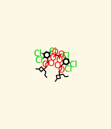 CCCC1(COC(=O)c2c(Cl)c(Cl)cc(Cl)c2OC(=O)C(=O)Oc2c(Cl)cc(Cl)c(Cl)c2C(=O)OCC2(CCC)CC(C)C2)CC(C)C1